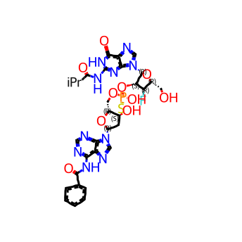 CC(C)C(=O)Nc1nc2c(ncn2[C@@H]2O[C@H](CO)[C@@H](F)[C@H]2OP(O)(=S)OC[C@H]2O[C@@H](n3cnc4c(NC(=O)c5ccccc5)ncnc43)C[C@@H]2O)c(=O)[nH]1